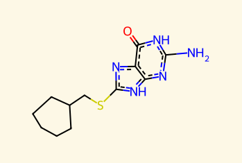 Nc1nc2[nH]c(SCC3CCCCC3)nc2c(=O)[nH]1